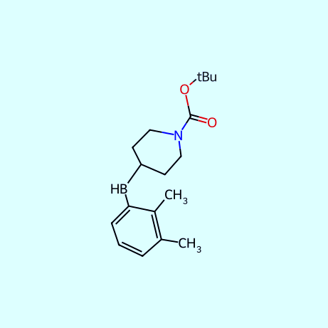 Cc1cccc(BC2CCN(C(=O)OC(C)(C)C)CC2)c1C